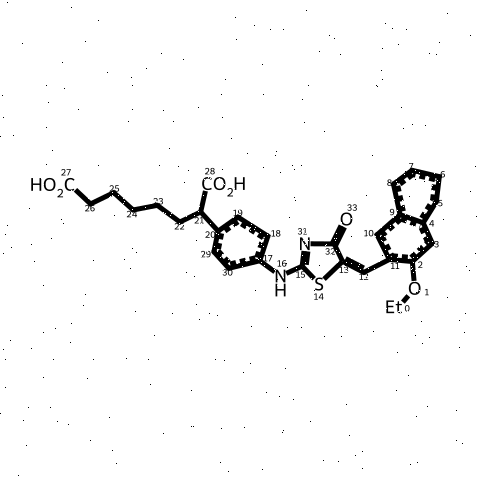 CCOc1cc2ccccc2cc1C=C1SC(Nc2ccc(C(CCCCCC(=O)O)C(=O)O)cc2)=NC1=O